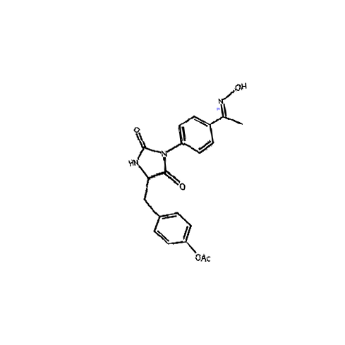 CC(=O)Oc1ccc(CC2NC(=O)N(c3ccc(/C(C)=N/O)cc3)C2=O)cc1